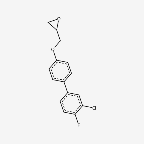 Fc1ccc(-c2ccc(OCC3CO3)cc2)cc1Cl